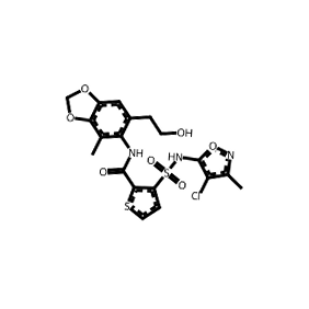 Cc1noc(NS(=O)(=O)c2ccsc2C(=O)Nc2c(CCO)cc3c(c2C)OCO3)c1Cl